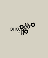 O=CNc1cccc2c1Nc1ccccc1N2c1nnc(-c2ccccc2)o1